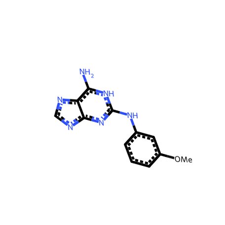 COc1cccc(Nc2nc3ncnc-3c(N)[nH]2)c1